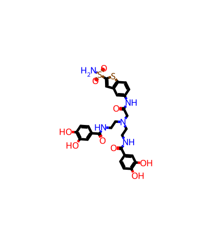 NS(=O)(=O)c1cc2cc(NC(=O)CN(CCNC(=O)c3ccc(O)c(O)c3)CCNC(=O)c3ccc(O)c(O)c3)ccc2s1